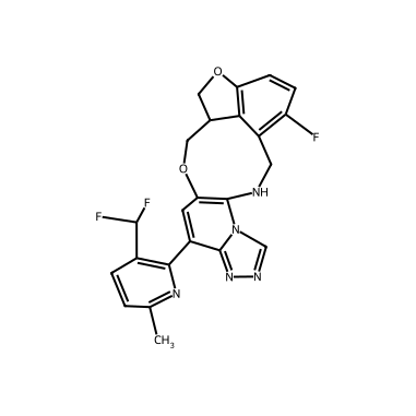 Cc1ccc(C(F)F)c(-c2cc3c(n4cnnc24)NCc2c(F)ccc4c2C(CO4)CO3)n1